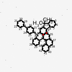 CC1(C)c2ccccc2-c2ccc(N(c3ccc(-c4ccccc4)cc3)c3ccccc3-c3cccc4ccc5ccccc5c34)cc21